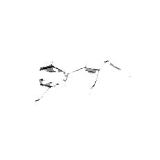 Cc1nc(C=C(F)C=O)co1